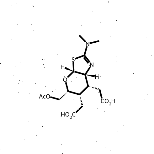 CC(=O)OC[C@@H]1O[C@@H]2SC(N(C)C)=N[C@@H]2[C@H](CC(=O)O)[C@@H]1CC(=O)O